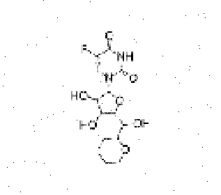 O=c1[nH]c(=O)n([C@@H]2O[C@H](C(O)C3CCCCO3)[C@@H](O)[C@H]2O)cc1F